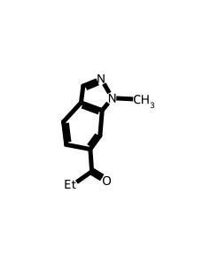 CCC(=O)c1ccc2cnn(C)c2c1